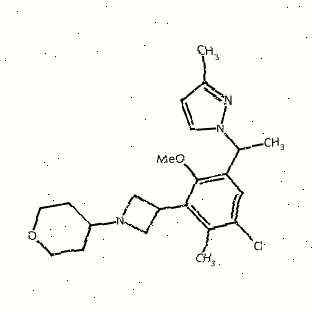 COc1c(C(C)n2ccc(C)n2)cc(Cl)c(C)c1C1CN(C2CCOCC2)C1